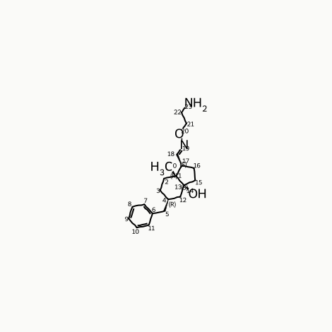 C[C@]12CC[C@H](Cc3ccccc3)C[C@@]1(O)CC[C@@H]2C=NOCCN